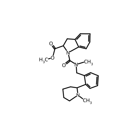 COC(=O)C1Cc2ccccc2N1C(=O)N(C)Cc1ccccc1C1CCCCN1C